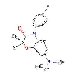 CCC1(CC)Oc2cc(N(C(=O)O)C(C)(C)C)ccc2N(c2ccc(F)cc2)C1=O